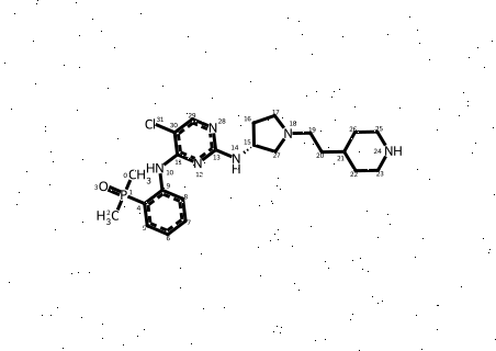 CP(C)(=O)c1ccccc1Nc1nc(N[C@@H]2CCN(CCC3CCNCC3)C2)ncc1Cl